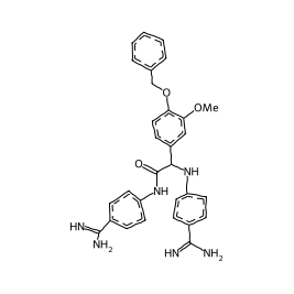 COc1cc(C(Nc2ccc(C(=N)N)cc2)C(=O)Nc2ccc(C(=N)N)cc2)ccc1OCc1ccccc1